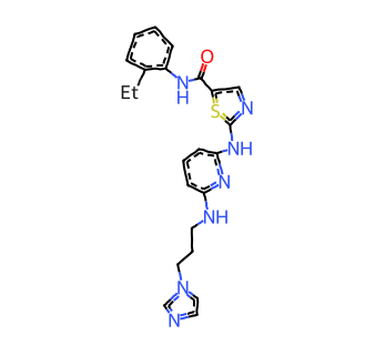 CCc1ccccc1NC(=O)c1cnc(Nc2cccc(NCCCn3ccnc3)n2)s1